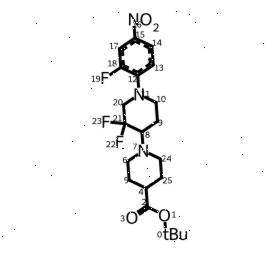 CC(C)(C)OC(=O)C1CCN(C2CCN(c3ccc([N+](=O)[O-])cc3F)CC2(F)F)CC1